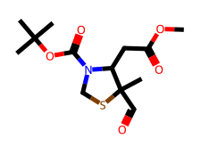 COC(=O)CC1N(C(=O)OC(C)(C)C)CSC1(C)C=O